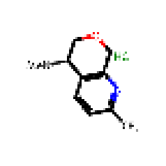 CN[C@H]1COCc2nc(C(F)(F)F)ccc21.Cl